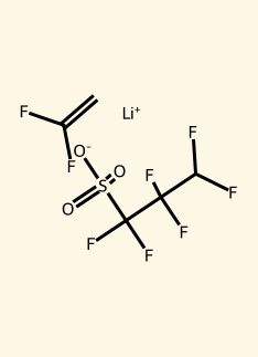 C=C(F)F.O=S(=O)([O-])C(F)(F)C(F)(F)C(F)F.[Li+]